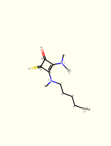 CCN(C)c1c(N(C)CCCCNC)c(=S)c1=O